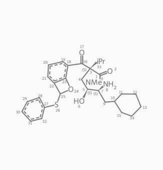 CNC(=O)[C@](C[C@H](O)[C@@H](N)CC1CCCCC1)(C(=O)c1cccc2c1OC2Sc1ccccc1)C(C)C